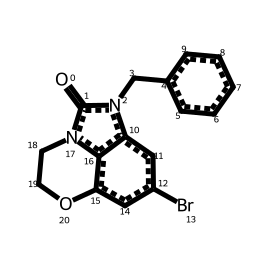 O=c1n(Cc2ccccc2)c2cc(Br)cc3c2n1CCO3